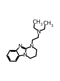 CCN(CC)CCN1CCCn2c1nc1ccccc12